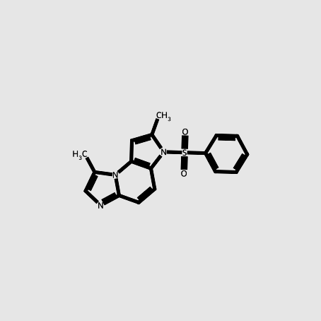 Cc1cc2c(ccc3ncc(C)n32)n1S(=O)(=O)c1ccccc1